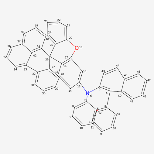 c1ccc(-c2c(N(c3ccccc3)c3ccc4c(c3)Oc3ccccc3C43c4ccccc4-c4cccc5cccc3c45)ccc3ccccc23)cc1